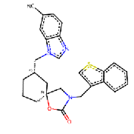 N#Cc1ccc2ncn(C[C@H]3CCC[C@]4(C3)CN(Cc3csc5ccccc35)C(=O)O4)c2c1